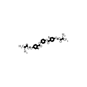 C=C(C)C(=O)OCOc1ccc(C(=O)Oc2ccc(OC(=O)c3ccc(OCOC(=O)C(=C)C(F)(F)F)cc3F)cc2)c(F)c1